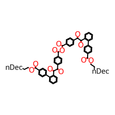 CCCCCCCCCCCCOC(=O)c1ccc(-c2ccccc2C(=O)C(=O)c2ccc(C(=O)OC(=O)c3ccc(C(=O)C(=O)c4ccccc4-c4ccc(C(=O)OCCCCCCCCCCCC)cc4)cc3)cc2)cc1